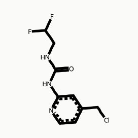 O=C(NCC(F)F)Nc1cc(CCl)ccn1